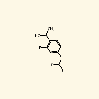 CC(O)c1ccc(OC(F)F)cc1F